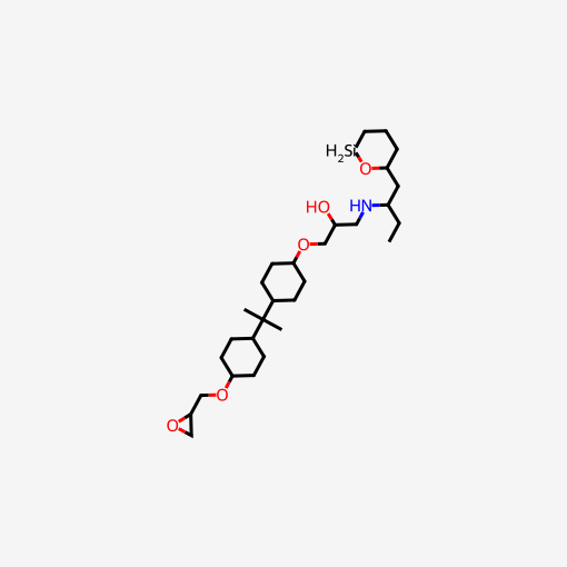 CCC(CC1CCC[SiH2]O1)NCC(O)COC1CCC(C(C)(C)C2CCC(OCC3CO3)CC2)CC1